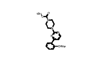 COc1ccccc1-c1ccnc(N2CCN(C(=O)OC(C)(C)C)CC2)n1